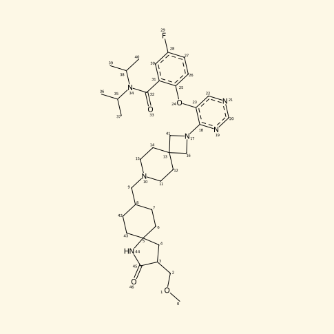 COCC1CC2(CCC(CN3CCC4(CC3)CN(c3ncncc3Oc3ccc(F)cc3C(=O)N(C(C)C)C(C)C)C4)CC2)NC1=O